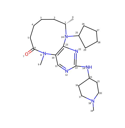 C[C@H]1CCCCC(=O)N(C)c2cnc(NC3CCN(C)CC3)nc2N1C1CCCC1